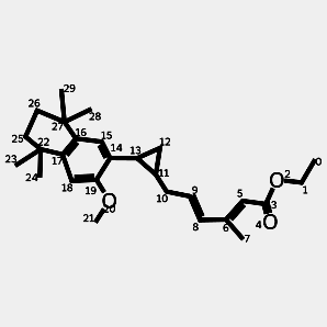 CCOC(=O)C=C(C)C=CCC1CC1c1cc2c(cc1OC)C(C)(C)CCC2(C)C